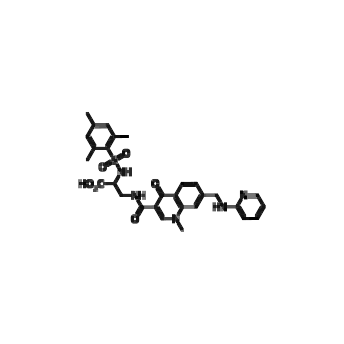 Cc1cc(C)c(S(=O)(=O)NC(CNC(=O)c2cn(C)c3cc(CNc4ccccn4)ccc3c2=O)C(=O)O)c(C)c1